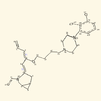 C=C/C=C(\C=C1/CC2CC2N1C=O)OCCCCN1CCN(c2cccc(Cl)c2Cl)CC1